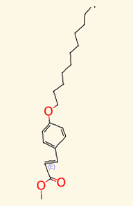 [CH2]CCCCCCCCCCOc1ccc(/C=C/C(=O)OC)cc1